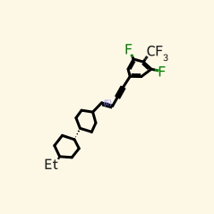 CC[C@H]1CC[C@H](C2CCC(/C=C/C#Cc3cc(F)c(C(F)(F)F)c(F)c3)CC2)CC1